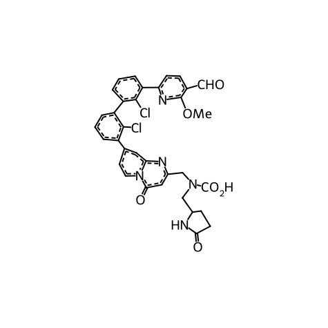 COc1nc(-c2cccc(-c3cccc(-c4ccn5c(=O)cc(CN(CC6CCC(=O)N6)C(=O)O)nc5c4)c3Cl)c2Cl)ccc1C=O